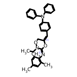 CCN1OC/C(=C\c2ccc(N(c3ccccc3)c3ccccc3)cc2)O/C1=N/c1c(C)cc(C)cc1C